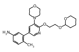 Cc1ccc(N)cc1-c1cnc(OCCOC2CCCCO2)c(N2CCOCC2)c1